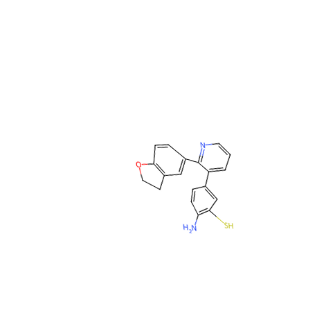 Nc1ccc(-c2cccnc2-c2ccc3c(c2)CCO3)cc1S